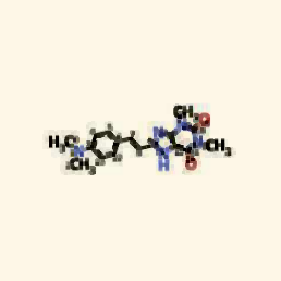 CN(C)c1ccc(/C=C/c2nc3c([nH]2)c(=O)n(C)c(=O)n3C)cc1